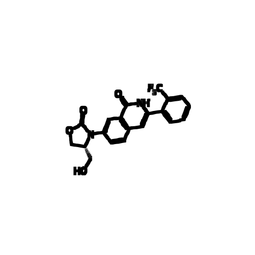 O=C1OC[C@@H](CO)N1c1ccc2cc(-c3ccccc3C(F)(F)F)[nH]c(=O)c2c1